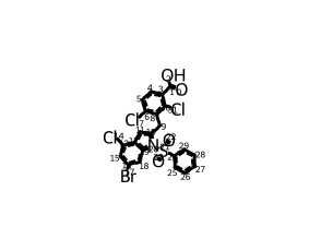 O=C(O)c1ccc(Cl)c(Cc2cc3c(Cl)cc(Br)cc3n2S(=O)(=O)c2ccccc2)c1Cl